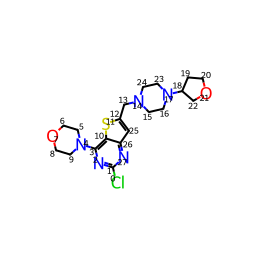 Clc1nc(N2CCOCC2)c2sc(CN3CCN(C4CCOC4)CC3)cc2n1